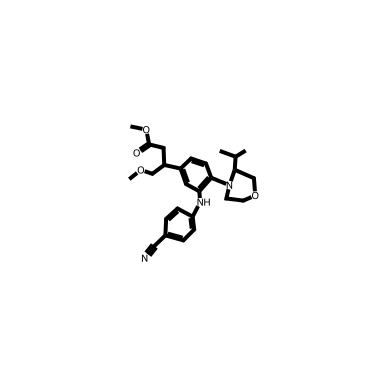 COCC(CC(=O)OC)c1ccc(N2CCOCC2C(C)C)c(Nc2ccc(C#N)cc2)c1